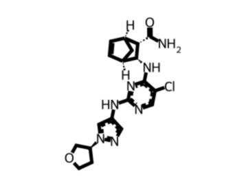 NC(=O)[C@@H]1[C@H](Nc2nc(Nc3cnn([C@H]4CCOC4)c3)ncc2Cl)[C@H]2C=C[C@@H]1C2